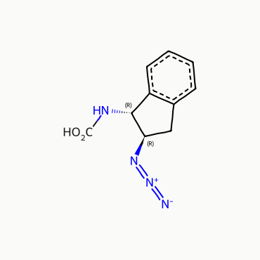 [N-]=[N+]=N[C@@H]1Cc2ccccc2[C@H]1NC(=O)O